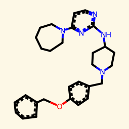 c1ccc(COc2ccc(CN3CCC(Nc4nccc(N5CCCCCC5)n4)CC3)cc2)cc1